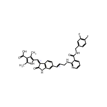 Cc1[nH]c(/C=C2\C(=O)Nc3cc(/C=C/CNc4ncccc4C(=O)NCc4ccc(F)c(F)c4)ccc32)c(C)c1C(=O)O